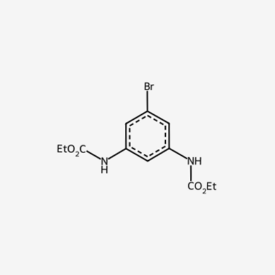 CCOC(=O)Nc1cc(Br)cc(NC(=O)OCC)c1